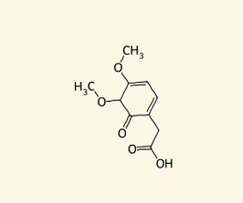 COC1=CC=C(CC(=O)O)C(=O)C1OC